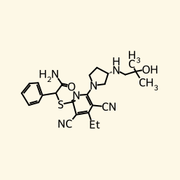 CCc1c(C#N)c(SC(C(N)=O)c2ccccc2)nc(N2CC[C@H](NCC(C)(C)O)C2)c1C#N